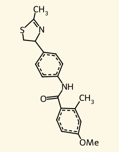 COc1ccc(C(=O)Nc2ccc(C3CSC(C)=N3)cc2)c(C)c1